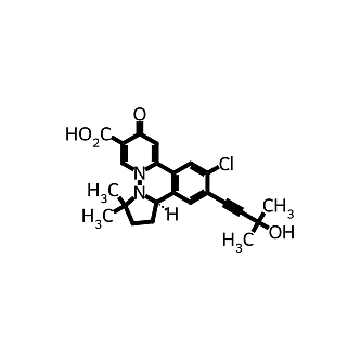 CC(C)(O)C#Cc1cc2c(cc1Cl)-c1cc(=O)c(C(=O)O)cn1N1[C@@H]2CCC1(C)C